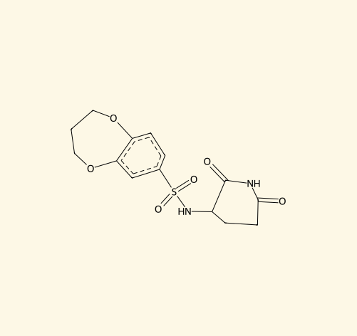 O=C1CCC(NS(=O)(=O)c2ccc3c(c2)OCCCO3)C(=O)N1